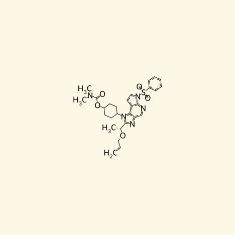 C=CCO[C@H](C)c1nc2cnc3c(ccn3S(=O)(=O)c3ccccc3)c2n1C1CCC(OC(=O)N(C)C)CC1